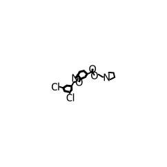 O=C(OCCN1CCCC1)c1ccc2nc(-c3cc(Cl)cc(Cl)c3)oc2c1